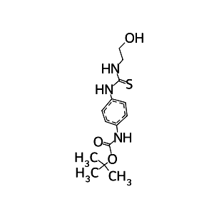 CC(C)(C)OC(=O)Nc1ccc(NC(=S)NCCO)cc1